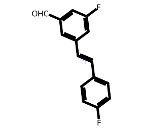 O=Cc1cc(F)cc(/C=C/c2ccc(F)cc2)c1